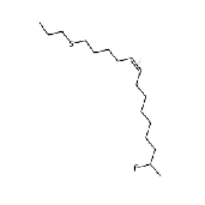 CCCSCCCC/C=C\CCCCCCC(C)F